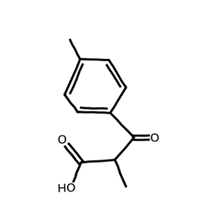 Cc1ccc(C(=O)C(C)C(=O)O)cc1